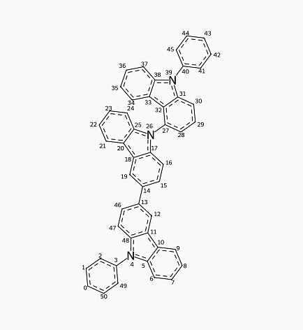 c1ccc(-n2c3ccccc3c3cc(-c4ccc5c(c4)c4ccccc4n5-c4cccc5c4c4ccccc4n5-c4ccccc4)ccc32)cc1